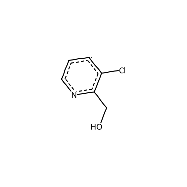 OCc1ncc[c]c1Cl